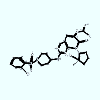 C[C@@]1(O)CCC[C@H]1n1c(=O)c(OC(F)F)cc2cnc(NC3CCN(S(=O)(=O)c4ccccc4C#N)CC3)nc21